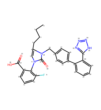 CCCCc1cn(-c2c(F)cccc2C(=O)O)c(=O)n1Cc1ccc(-c2ccccc2-c2nnn[nH]2)cc1